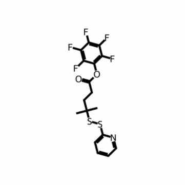 CC(C)(CCC(=O)Oc1c(F)c(F)c(F)c(F)c1F)SSc1ccccn1